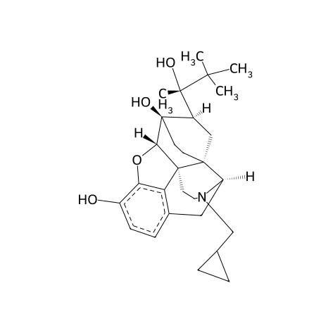 CC(C)(C)[C@@](C)(O)[C@H]1C[C@@]23CC[C@]1(O)[C@H]1Oc4c(O)ccc5c4[C@@]12CCN(CC1CC1)[C@@H]3C5